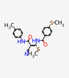 CSC(NC(=O)c1ccc(SC)cc1)=C(C#N)C(=O)Nc1ccc(C)cc1